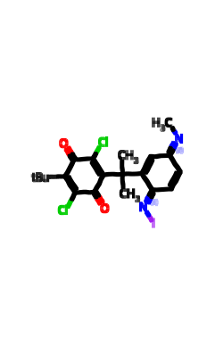 C/N=C1C=C/C(=N\I)C(C(C)(C)C2=C(Cl)C(=O)C(C(C)(C)C)=C(Cl)C2=O)=C/1